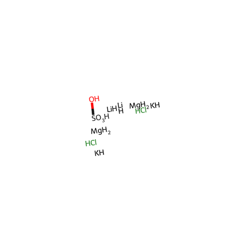 Cl.Cl.O=S(=O)(O)O.[KH].[KH].[LiH].[LiH].[MgH2].[MgH2]